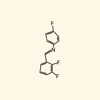 Fc1ccc(N=Cc2cccc(F)c2F)cc1